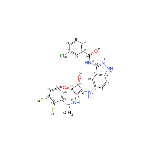 C[C@@H](Nc1c(Nc2ccc3[nH]nc(NC(=O)c4cccc(Cl)c4)c3c2)c(=O)c1=O)c1cccc(F)c1F